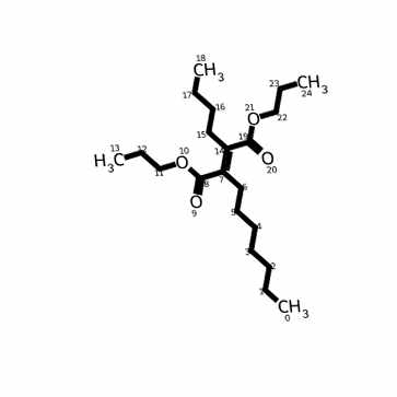 CCCCCCCC(C(=O)OCCC)=C(CCCC)C(=O)OCCC